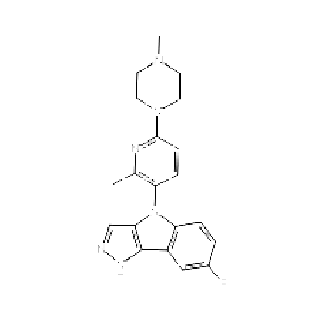 Cc1nc(N2CCN(C)CC2)ccc1-n1c2ccc(F)cc2c2[nH]ncc21